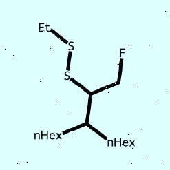 CCCCCCC(CCCCCC)C(CF)SSCC